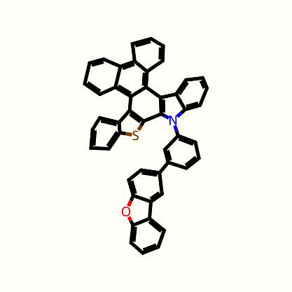 c1cc(-c2ccc3oc4ccccc4c3c2)cc(-n2c3ccccc3c3c4c5ccccc5c5ccccc5c4c4c5ccccc5sc4c32)c1